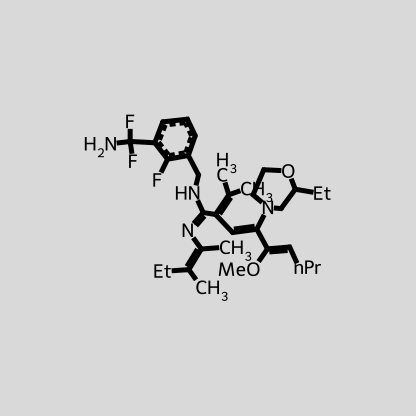 CCC/C=C(OC)/C(=C/C(=C(C)C)/C(=N\C(C)=C(\C)CC)NCc1cccc(C(N)(F)F)c1F)N1CCOC(CC)C1